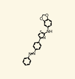 c1ccc(N=Nc2ccc(-c3csc(Nc4ccc5c(c4)OCO5)n3)cc2)cc1